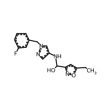 CCc1cc(C(O)Nc2cnn(Cc3cccc(F)c3)c2)no1